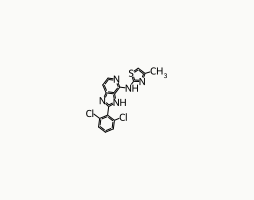 Cc1csc(Nc2nccc3nc(-c4c(Cl)cccc4Cl)[nH]c23)n1